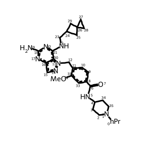 CCCN1CCC(NC(=O)c2ccc(Cn3ncc4nc(N)nc(NCC5CC6(CC6)C5)c43)c(OC)c2)CC1